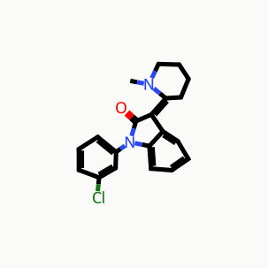 CN1CCCCC1=C1C(=O)N(c2cccc(Cl)c2)c2ccccc21